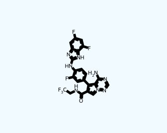 Nc1ncnn2cc(C(=O)NCC(F)(F)F)c(-c3ccc(Nc4nc5cc(F)cc(F)c5[nH]4)c(F)c3)c12